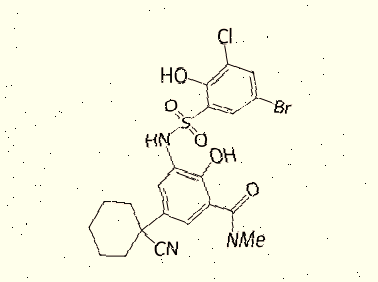 CNC(=O)c1cc(C2(C#N)CCCCC2)cc(NS(=O)(=O)c2cc(Br)cc(Cl)c2O)c1O